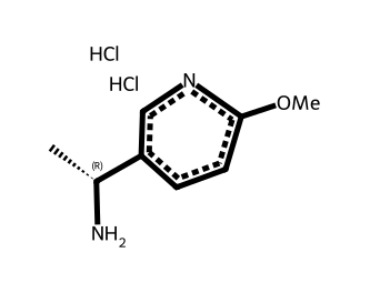 COc1ccc([C@@H](C)N)cn1.Cl.Cl